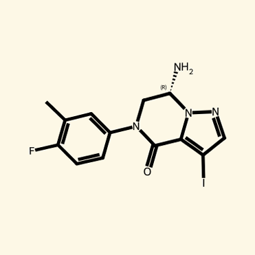 Cc1cc(N2C[C@H](N)n3ncc(I)c3C2=O)ccc1F